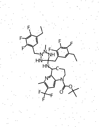 CCc1cc(CN2NC(Cc3cc(CC)c(F)c(F)c3F)(NC3CCCN(C(=O)OC(C)(C)C)c4cc(C(F)(F)F)c(C)nc43)NN2C)c(F)c(F)c1F